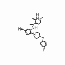 C=C1NC(C)=CC=C1C(=C)Nc1cc(C#N)ccc1N1CCC(Cc2ccc(F)cc2)CC1